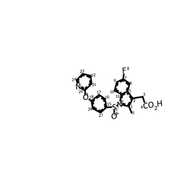 Cc1c(CC(=O)O)c2cc(F)ccc2n1[S+]([O-])c1ccc(Oc2ccccn2)cc1